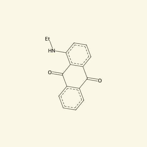 CCNc1cccc2c1C(=O)c1ccccc1C2=O